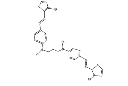 CCN(CCCN(CC)c1ccc(N=NC2SC=CN2CC)cc1)c1ccc(N=Nc2scc[n+]2CC)cc1